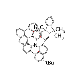 CC(C)(C)c1ccc(-c2ccccc2N(c2ccccc2C2=CC3C(C)(C)c4ccccc4C3(C)C=C2)c2ccccc2-c2cccc3cccc(-c4ccccc4)c23)cc1